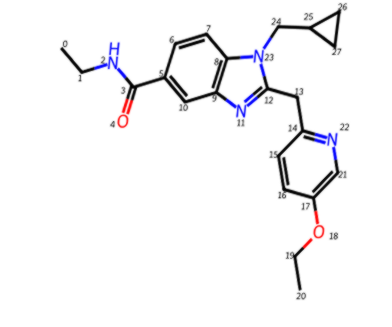 CCNC(=O)c1ccc2c(c1)nc(Cc1ccc(OCC)cn1)n2CC1CC1